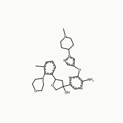 Cc1cccc(C2CC(O)(c3cnc(N)c(Oc4cnn(C5CCN(C)CC5)c4)n3)CO2)c1N1CCOCC1